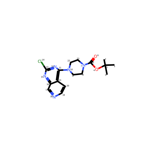 CC(C)(C)OC(=O)N1CCN(c2nc(Cl)nc3cnccc23)CC1